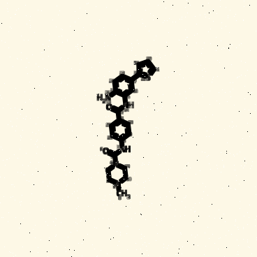 CN1CCN(C(=O)Nc2ccc(C(=O)Nc3cc(-c4cccs4)ccc3N)cc2)CC1